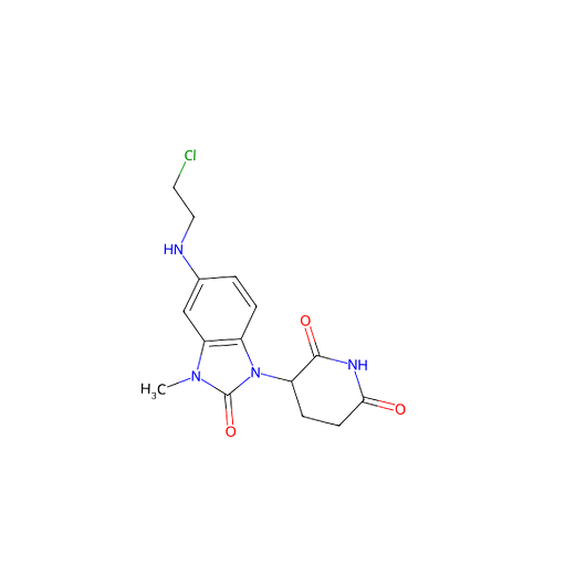 Cn1c(=O)n(C2CCC(=O)NC2=O)c2ccc(NCCCl)cc21